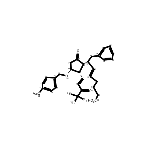 CCCCC(F)(F)C(=O)C=C[C@H]1[C@@H](C(C=CCCCC(=O)O)Cc2ccccc2)C(=O)C[C@H]1OCc1ccc(OC)cc1